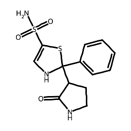 NS(=O)(=O)C1=CNC(c2ccccc2)(C2CCNC2=O)S1